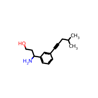 CC(C)CC#Cc1cccc(C(N)CCO)c1